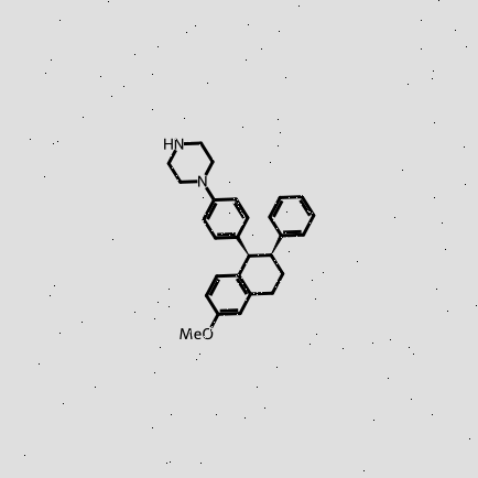 COc1ccc2c(c1)CC[C@H](c1ccccc1)[C@@H]2c1ccc(N2CCNCC2)cc1